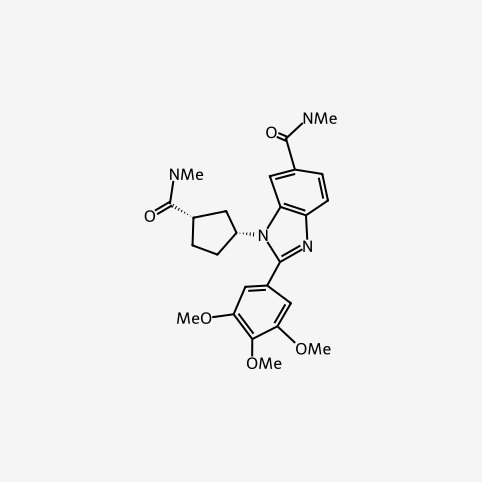 CNC(=O)c1ccc2nc(-c3cc(OC)c(OC)c(OC)c3)n([C@@H]3CC[C@H](C(=O)NC)C3)c2c1